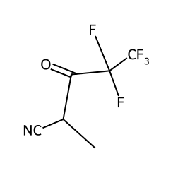 CC(C#N)C(=O)C(F)(F)C(F)(F)F